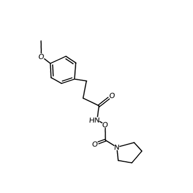 COc1ccc(CCC(=O)NOC(=O)N2CCCC2)cc1